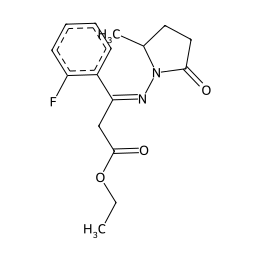 CCOC(=O)CC(=NN1C(=O)CCC1C)c1ccccc1F